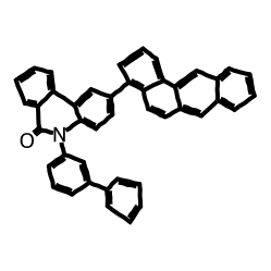 O=c1c2ccccc2c2cc(-c3cccc4c3ccc3cc5ccccc5cc34)ccc2n1-c1cccc(-c2ccccc2)c1